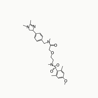 COc1cc(C)c(S(=O)(=O)N(C)CCOCC(=O)N(C)Cc2ccc(C3CN(C)C(C)=N3)cc2)c(C)c1